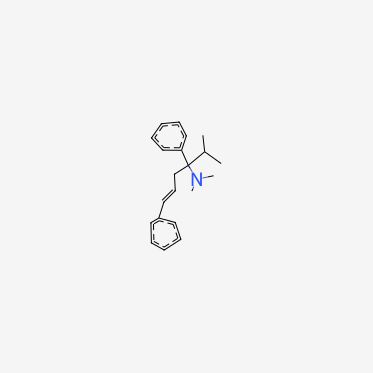 CC(C)C(C/C=C/c1ccccc1)(c1ccccc1)N(C)C